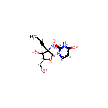 CC#C[C@@]1(N)C(O)[C@@H](CO)O[C@H]1n1ccc(=O)[nH]c1=O